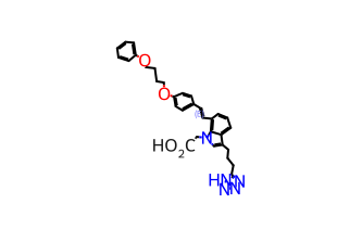 O=C(O)Cn1cc(CCCc2nnn[nH]2)c2cccc(/C=C/c3ccc(OCCCCOc4ccccc4)cc3)c21